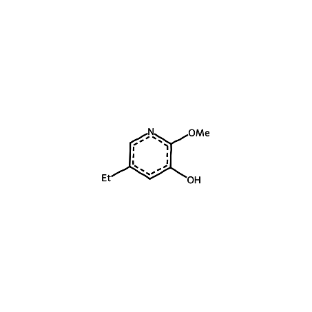 CCc1cnc(OC)c(O)c1